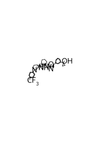 OC1(c2cccc(-c3cnc(N[C@@H]4CCCC[C@H]4N[C@H]4CCCN(c5ccc(C(F)(F)F)cc5)C4)o3)c2)CC1